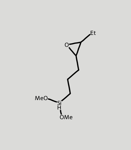 CCC1OC1CCC[SiH](OC)OC